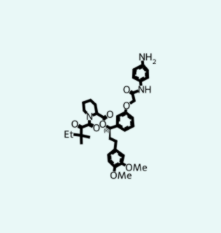 CCC(C)(C)C(=O)C(=O)N1CCCCC1C(=O)O[C@H](CCc1ccc(OC)c(OC)c1)c1cccc(OCC(=O)Nc2ccc(N)cc2)c1